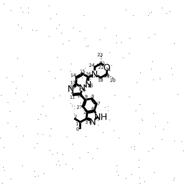 CC(C)c1n[nH]c2ccc(-c3cnc4ccc(N5C[C@@H](C)O[C@@H](C)C5)nn34)cc12